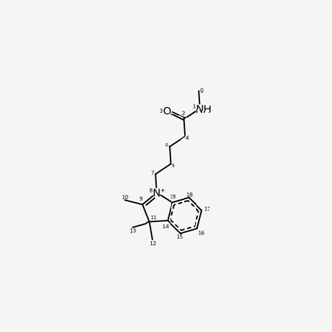 CNC(=O)CCCC[N+]1=C(C)C(C)(C)c2ccccc21